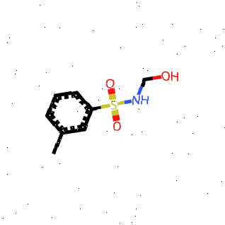 Cc1cccc(S(=O)(=O)NCO)c1